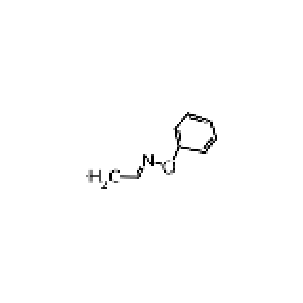 [CH2]C=NOc1ccccc1